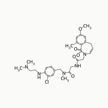 COc1cc(C)c2c(c1)CC=CN(CC(=O)NCC(=O)N(C)Cc1ccc(NCCN(C)C)c(Cl)c1)S2(=O)=O